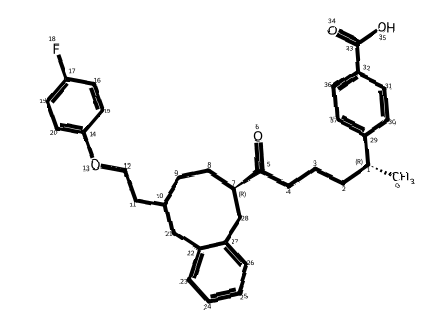 C[C@H](CCCC(=O)[C@@H]1CCC(CCOc2ccc(F)cc2)Cc2ccccc2C1)c1ccc(C(=O)O)cc1